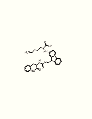 NCCCCC(N)C(=O)O.O=C(NC(Cc1ccccc1)C(=O)O)OCC1c2ccccc2-c2ccccc21